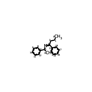 CCCC(=NC(C)c1ccccc1)c1ccccc1